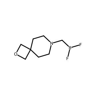 FB(F)CN1CCC2(CC1)COC2